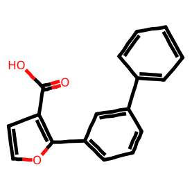 O=C(O)c1ccoc1-c1cccc(-c2ccccc2)c1